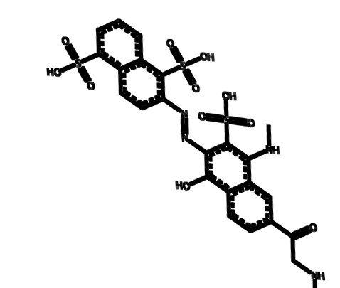 CNCC(=O)c1ccc2c(O)c(N=Nc3ccc4c(S(=O)(=O)O)cccc4c3S(=O)(=O)O)c(S(=O)(=O)O)c(NC)c2c1